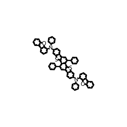 c1ccc(-c2cc3c4ccc(N(c5ccccc5)c5cccc6c5oc5ccccc56)cc4sc3c3c(-c4ccccc4)cc4c5ccc(N(c6ccccc6)c6cccc7c6oc6ccccc67)cc5sc4c23)cc1